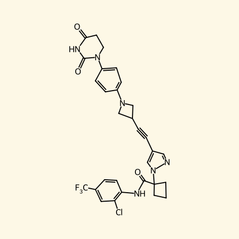 O=C1CCN(c2ccc(N3CC(C#Cc4cnn(C5(C(=O)Nc6ccc(C(F)(F)F)cc6Cl)CCC5)c4)C3)cc2)C(=O)N1